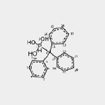 O[PH](O)(O)C(c1ccccc1)(c1ccccc1)c1ccccc1